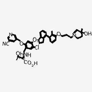 Cc1c(OCCCN2CCC(C)(O)CC2)cccc1-c1cccc2c1CC[C@@H]2Oc1cc(OCc2cncc(C#N)c2)c(CN[C@H](C(=O)O)[C@@H](C)O)cc1Cl